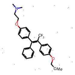 COCOc1ccc(/C(=C(\c2ccccc2)c2ccc(OCCN(C)C)cc2)C(F)(F)F)cc1